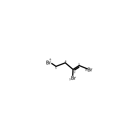 BrC=C(Br)CCBr